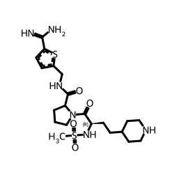 CS(=O)(=O)N[C@H](CCC1CCNCC1)C(=O)N1CCCC1C(=O)NCc1ccc(C(=N)N)s1